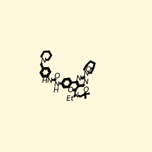 CCN1CC(C)(C)Oc2nc(N3CC4CCC(C3)O4)nc(-c3ccc(NC(=O)Nc4ccc(CN5CCCCC5)cc4)cc3)c2C1=O